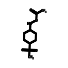 CS(=O)(=O)C1CCC(NOC(=O)C(F)(F)F)CC1